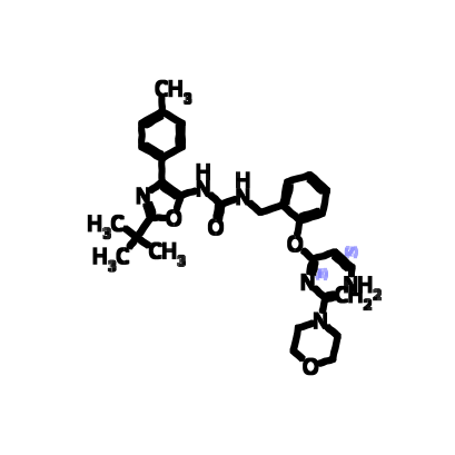 C=C(/N=C(\C=C/N)Oc1ccccc1CNC(=O)Nc1oc(C(C)(C)C)nc1-c1ccc(C)cc1)N1CCOCC1